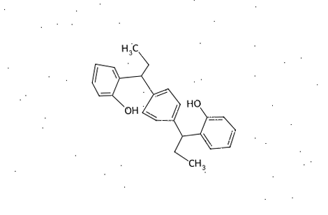 CCC(c1ccc(C(CC)c2ccccc2O)cc1)c1ccccc1O